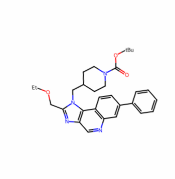 CCOCc1nc2cnc3cc(-c4ccccc4)ccc3c2n1CC1CCN(C(=O)OC(C)(C)C)CC1